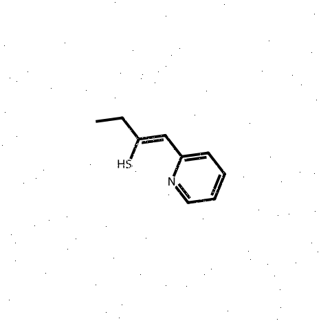 CC/C(S)=C/c1ccccn1